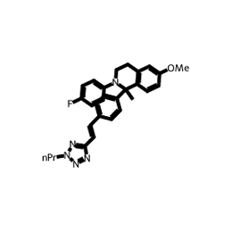 CCCn1nnc(/C=C/c2ccc(C3(C)c4ccc(OC)cc4CCN3c3ccc(F)cc3)cc2)n1